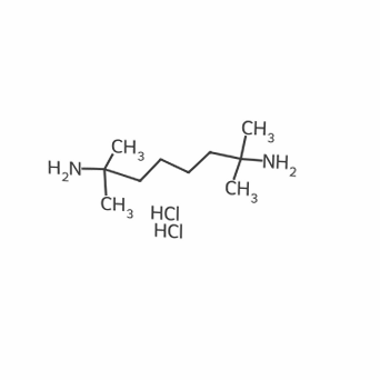 CC(C)(N)CCCCC(C)(C)N.Cl.Cl